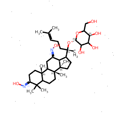 CC(C)=CCC[C@](C)(O[C@@H]1OC(CO)[C@@H](O)C(O)C1O)C1CC[C@]2(C)C1/C(=N\O)CC1[C@@]3(C)CC/C(=N\O)C(C)(C)C3CC[C@]12C